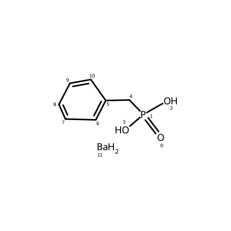 O=P(O)(O)Cc1ccccc1.[BaH2]